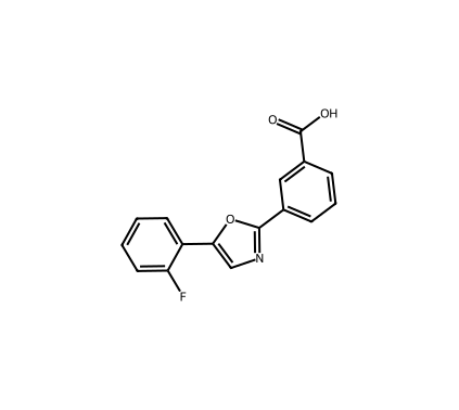 O=C(O)c1cccc(-c2ncc(-c3ccccc3F)o2)c1